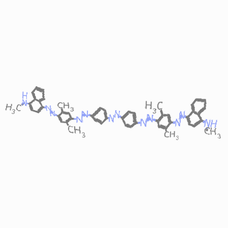 CNc1ccc(/N=N/c2cc(C)c(/N=N/c3ccc(/N=N/c4ccc(/N=N/c5cc(C)c(/N=N/c6ccc(NC)c7ccccc67)cc5C)cc4)cc3)cc2C)c2ccccc12